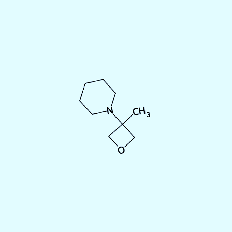 CC1(N2CCCCC2)COC1